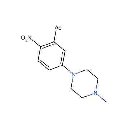 CC(=O)c1cc(N2CCN(C)CC2)ccc1[N+](=O)[O-]